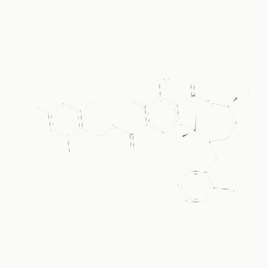 COc1c2n(cc(C(=O)NCc3c(F)cc(F)cc3F)c1=O)[C@@H]1CN(C2=O)[C@@H](C)CC[C@@]1(O)Cc1ccccc1Br